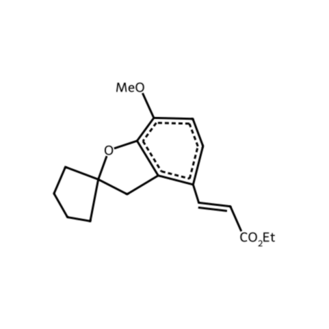 CCOC(=O)C=Cc1ccc(OC)c2c1CC1(CCCC1)O2